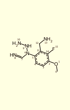 COc1ccc(N(C=N)NN)c(CN)c1F